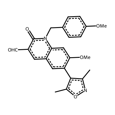 COc1ccc(Cn2c(=O)c(C=O)cc3cc(-c4c(C)noc4C)c(OC)cc32)cc1